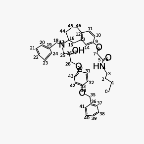 CCCCNC(=O)COc1ccc2c(c1)CC(N(Cc1ccccc1)C[C@H](O)COc1ccc(OCc3ccccc3)cc1)CCC2